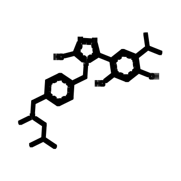 CC(C)CN(C)Cc1ccc(Cn2c(O)nnc2-c2cc(C(C)C)c(O)cc2O)cc1